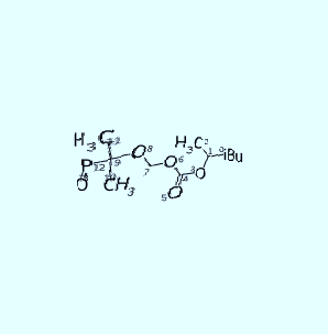 CCC(C)C(C)OC(=O)OCOC(C)(C)P=O